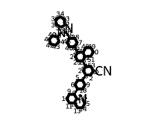 N#Cc1cc(-c2ccc(-c3cccc4cccnc34)cc2)cc(-c2ccc(-c3ccc(-c4nc5ccccc5n4-c4ccccc4)cc3)c3ccccc23)c1